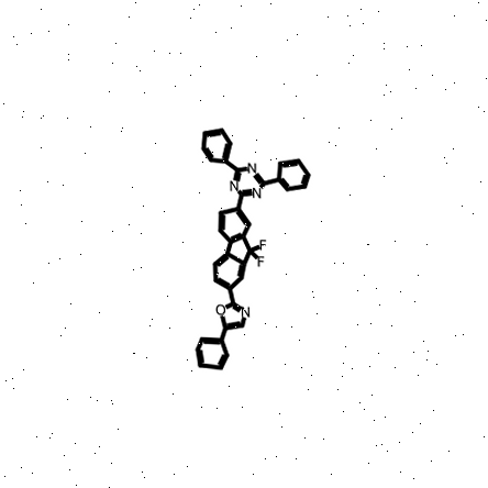 FC1(F)c2cc(-c3nc(-c4ccccc4)nc(-c4ccccc4)n3)ccc2-c2ccc(-c3ncc(-c4ccccc4)o3)cc21